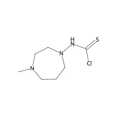 CN1CCCN(NC(=S)Cl)CC1